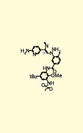 C=N/C(=C\N(N)c1cc(C(=O)Nc2cc(C(C)(C)C)cc(NS(C)(=O)=O)c2OC)ccc1C)c1ccc(N)nc1